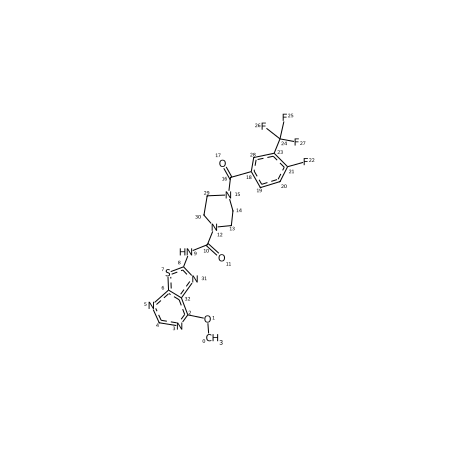 COc1ncnc2sc(NC(=O)N3CCN(C(=O)c4ccc(F)c(C(F)(F)F)c4)CC3)nc12